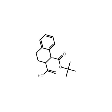 CC(C)(C)OC(=O)N1c2ccccc2CCC1C(=O)O